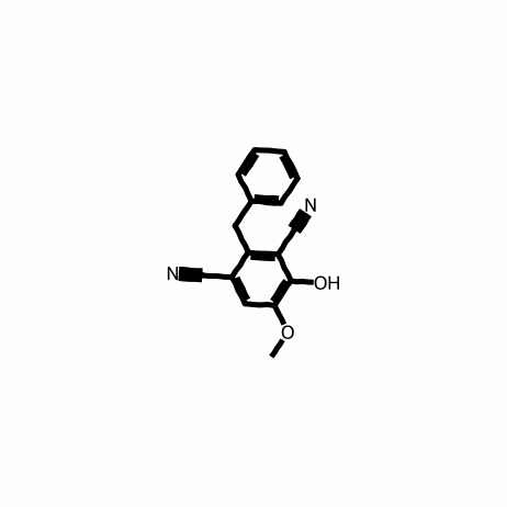 COc1cc(C#N)c(Cc2ccccc2)c(C#N)c1O